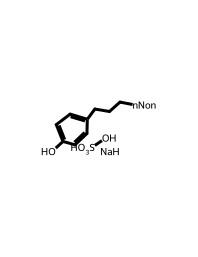 CCCCCCCCCCCCc1ccc(O)cc1.O=S(=O)(O)O.[NaH]